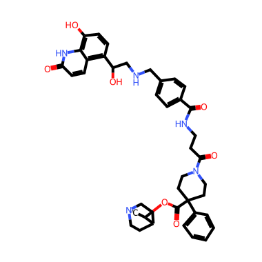 O=C(NCCC(=O)N1CCC(C(=O)OC2CN3CCC2CC3)(c2ccccc2)CC1)c1ccc(CNCC(O)c2ccc(O)c3[nH]c(=O)ccc23)cc1